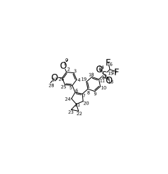 COc1ccc(C2=C(c3ccc(S(=O)(=O)C(F)F)cc3)CC3(CC3)C2)cc1OC